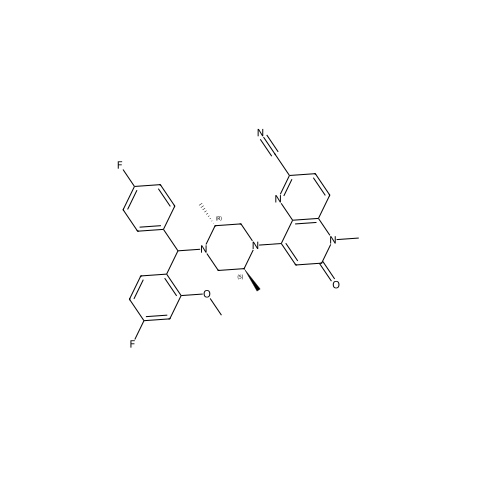 COc1cc(F)ccc1C(c1ccc(F)cc1)N1C[C@H](C)N(c2cc(=O)n(C)c3ccc(C#N)nc23)C[C@H]1C